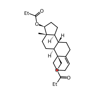 CCC(=O)OC[C@]12CCCC=C1CC[C@@H]1[C@@H]2CC[C@]2(C)[C@@H](OC(=O)CC)CC[C@@H]12